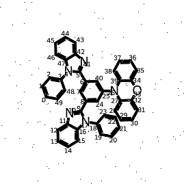 c1ccc(-n2c(-c3cc(-c4nc5ccccc5n4-c4ccccc4)cc(N4c5ccccc5Oc5ccccc54)c3)nc3ccccc32)cc1